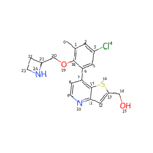 Cc1cc(Cl)cc(-c2ccnc3cc(CO)sc23)c1OCC1CCN1